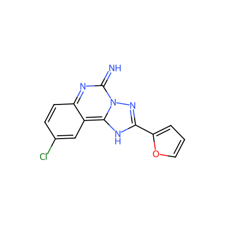 N=c1nc2ccc(Cl)cc2c2[nH]c(-c3ccco3)nn12